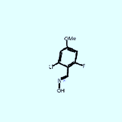 COc1cc(F)c(/C=N/O)c(Cl)c1